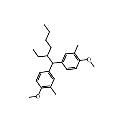 CCCCC(CC)C(c1ccc(OC)c(C)c1)c1ccc(OC)c(C)c1